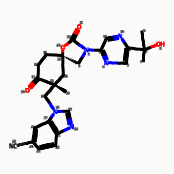 CC(C)(O)c1cnc(N2C[C@]3(CCC(=O)[C@@](C)(Cn4cnc5ccc(C#N)cc54)C3)OC2=O)cn1